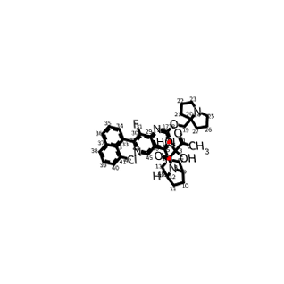 CC(=O)C(O)(O)C(=O)N1C2CC[C@H]1CN(c1nc(OCC34CCCN3CCC4)nc3c(F)c(-c4cccc5cccc(Cl)c45)ncc13)C2